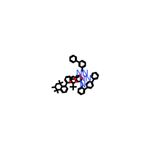 CC1CC(C)(C)c2c(-c3cccc(-c4cccc(-n5c6ccccc6c6ccc7c8ccccc8n(-c8nc(-c9cccc(-c%10ccccc%10)c9)nc(-c9cccc(C(C)(C)C)c9)n8)c7c65)c4)c3)cccc2C1(C)C